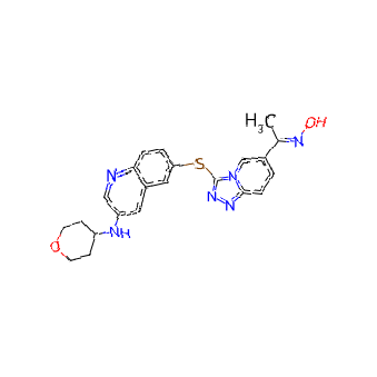 C/C(=N\O)c1ccc2nnc(Sc3ccc4ncc(NC5CCOCC5)cc4c3)n2c1